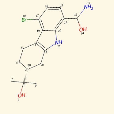 CC(C)(O)[C@@H]1CCc2c([nH]c3c(C(N)O)ccc(Br)c23)C1